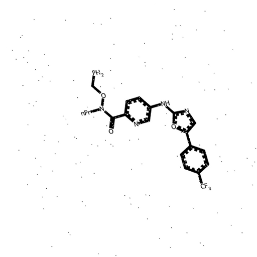 CCCN(OCP)C(=O)c1ccc(Nc2ncc(-c3ccc(C(F)(F)F)cc3)o2)cn1